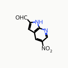 O=Cc1cc2cc([N+](=O)[O-])cnc2[nH]1